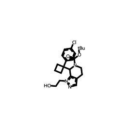 CC(C)(C)OC(=O)N1CCc2cnn(CCO)c2C1C1(c2ccc(Cl)cc2)CCC1